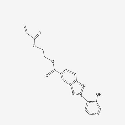 C=CC(=O)OCCOC(=O)c1ccc2nn(-c3ccccc3O)nc2c1